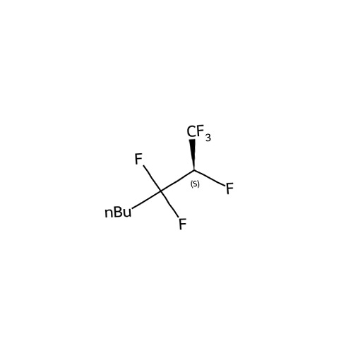 [CH2]CCCC(F)(F)[C@H](F)C(F)(F)F